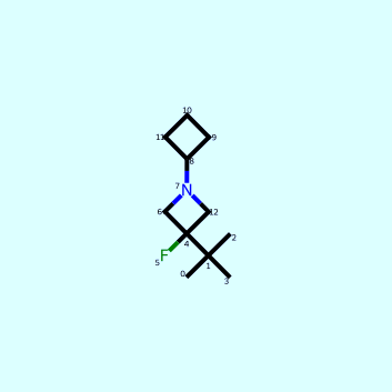 CC(C)(C)C1(F)CN(C2CCC2)C1